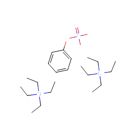 CC[N+](CC)(CC)CC.CC[N+](CC)(CC)CC.O=P([O-])([O-])Oc1ccccc1